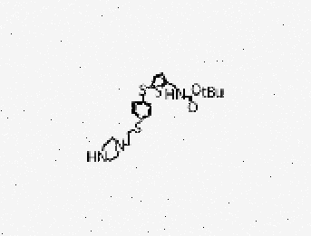 CC(C)(C)OC(=O)NCc1ccc(Sc2ccc(SCCN3CCNCC3)cc2)s1